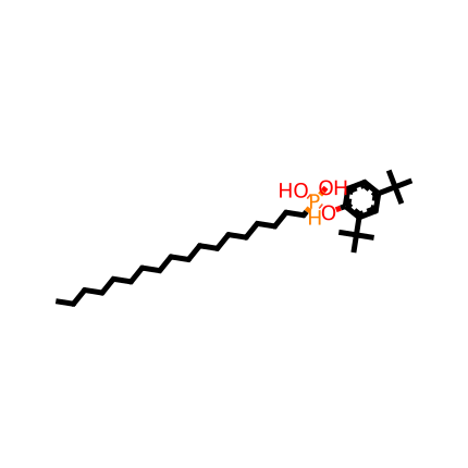 CCCCCCCCCCCCCCCCCC[PH](O)(O)Oc1ccc(C(C)(C)C)cc1C(C)(C)C